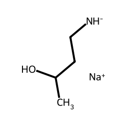 CC(O)CC[NH-].[Na+]